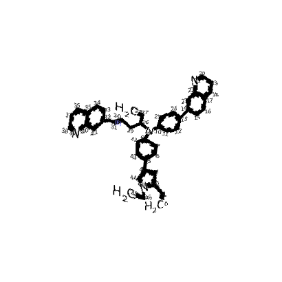 C=Cc1cc(-c2ccc(N(c3ccc(-c4ccc5cccnc5c4)cc3)C(C=C)C/C=C/c3ccc4cccnc4c3)cc2)cn1C=C